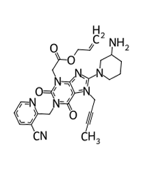 C=CCOC(=O)Cn1c(=O)n(Cc2ncccc2C#N)c(=O)c2c1nc(N1CCCC(N)C1)n2CC#CC